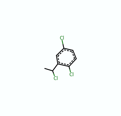 CC(Cl)c1cc(Cl)ccc1Cl